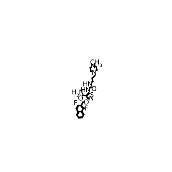 CN1CCN(CCCNC(=O)Nc2snc(OCc3c(F)cc4ccccc4c3F)c2C(N)=O)CC1